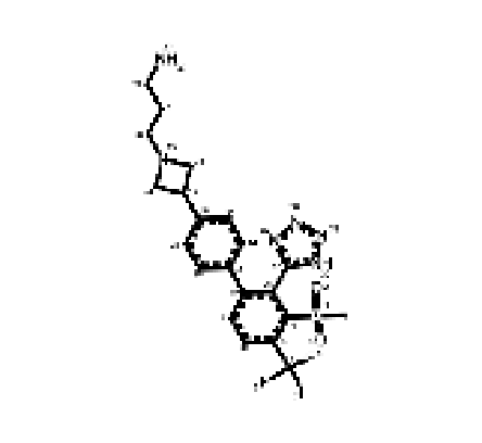 CS(=O)(=O)c1c(C(F)(F)F)ccc(-c2ccc(C3CN(CCCN)C3)cc2)c1-c1nnn[nH]1